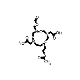 CC(=O)SCCN1CCN(CC(=O)O)CCN(COC=O)CCN(CC(=O)O)CC1